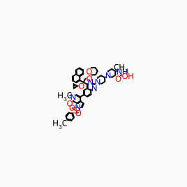 Cc1ccc(S(=O)(=O)n2ccc3c(-c4ccc5nc(N6CCC(N7CCC(C)(NC(=O)O)CC7)CC6)nc(C(COC6CCCCO6)(OC6CC6)c6cccc7ccccc67)c5c4)cn(C)c(=O)c32)cc1